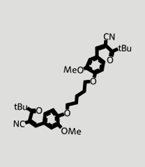 COc1cc(C=C(C#N)C(=O)C(C)(C)C)ccc1OCCCCCOc1ccc(C=C(C#N)C(=O)C(C)(C)C)cc1OC